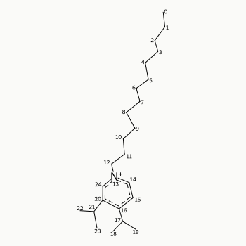 CCCCCCCCCCCCC[n+]1ccc(C(C)C)c(C(C)C)c1